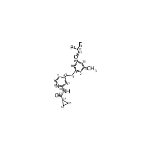 Cc1cc(CCc2ccnc(NC(=O)C3CC3)c2)cc(OCC(F)F)c1